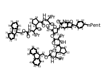 CCCCCc1ccc(-c2cc3cn([C@H]4C[C@@H](OC(=O)C(NC(=O)C5CCCC5C(=O)C(NC(=O)OCC5c6ccccc6-c6ccccc65)C(C)C)C(C)C)[C@@H](COC(=O)C(NC(=O)C5CCCC5C(=O)C(NC(=O)OCC5c6ccccc6-c6ccccc65)C(C)C)C(C)C)O4)c(=O)nc3o2)cc1